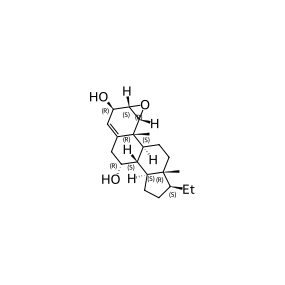 CC[C@H]1CC[C@H]2[C@@H]3[C@H](O)CC4=C[C@@H](O)[C@@H]5O[C@@H]5[C@]4(C)[C@H]3CC[C@]12C